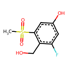 CS(=O)(=O)c1cc(O)cc(F)c1CO